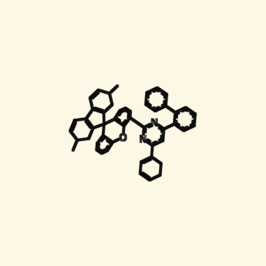 CC1C=CC2=C(C1)C1(C3=C2C=CC(C)C3)c2ccccc2Oc2c(-c3nc(C4=CC=CCC4)cc(-c4ccccc4-c4ccccc4)n3)cccc21